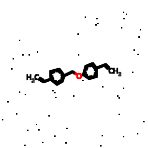 C=Cc1ccc(COc2ccc(C=C)cc2)cc1